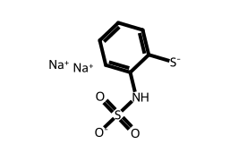 O=S(=O)([O-])Nc1ccccc1[S-].[Na+].[Na+]